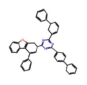 C1=CCC(c2ccc(-c3nc(C4=CC=CC(c5ccccc5)C4)nc(C4C=C(c5ccccc5)c5c(oc6ccccc56)C4)n3)cc2)C=C1